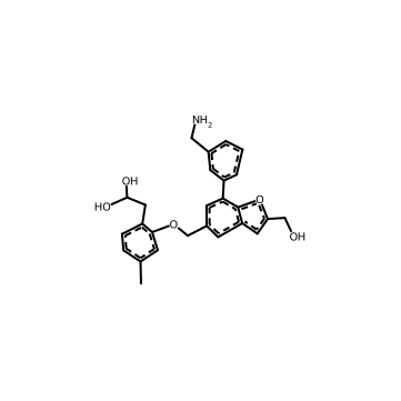 Cc1ccc(CC(O)O)c(OCc2cc(-c3cccc(CN)c3)c3oc(CO)cc3c2)c1